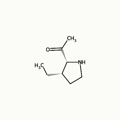 CC[C@H]1CCN[C@H]1C(C)=O